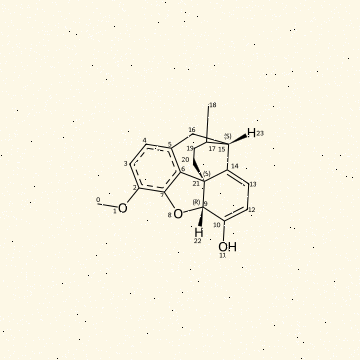 COc1ccc2c3c1O[C@H]1C(O)=CC=C4[C@@H](C2)C(C)CC[C@]431